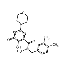 Cc1ccc(CN(C)C(=O)c2nc(N3CCOCC3)[nH]c(=O)c2O)cc1C